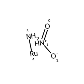 O=[NH+][O-].[NH2][Ru]